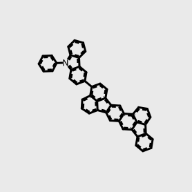 c1ccc(-n2c3ccccc3c3cc(-c4ccc5c6cc7c(cc6c6cccc4c65)cc4c5ccccc5c5cccc7c54)ccc32)cc1